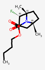 CCCCOC(=O)N1[C@]2(C)CC[C@@]1(C)[C@@H](F)C(=O)C2